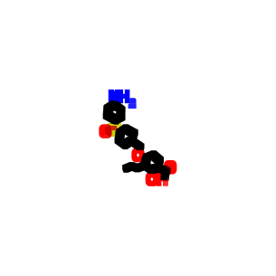 CCCc1c(OCc2ccc([S+]([O-])c3ccc(N)cc3)cc2)ccc(C(C)=O)c1O